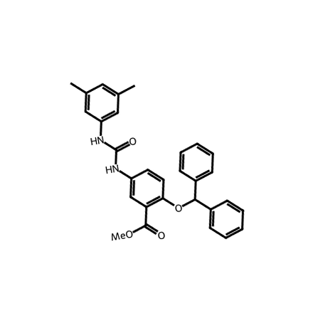 COC(=O)c1cc(NC(=O)Nc2cc(C)cc(C)c2)ccc1OC(c1ccccc1)c1ccccc1